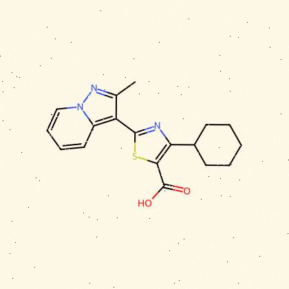 Cc1nn2ccccc2c1-c1nc(C2CCCCC2)c(C(=O)O)s1